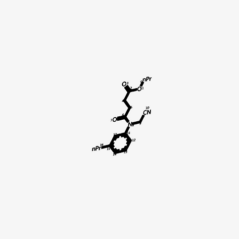 CCCOC(=O)CCC(=O)N(CC#N)c1cccc(CCC)c1